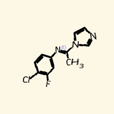 C/C(=N\c1ccc(Cl)c(F)c1)n1ccnc1